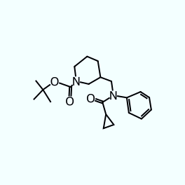 CC(C)(C)OC(=O)N1CCCC(CN(C(=O)C2CC2)c2ccccc2)C1